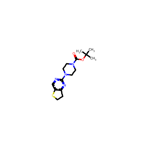 CC(C)(C)OC(=O)N1CCN(c2ncc3c(n2)CCS3)CC1